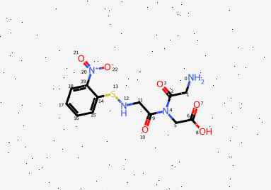 NCC(=O)N(CC(=O)O)C(=O)CNSc1ccccc1[N+](=O)[O-]